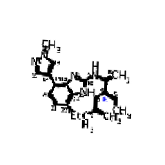 C=C(C)C/C(=C\C)C(=C)Nc1nc2c(-c3cnn(C)c3)ccc(CC)c2[nH]1